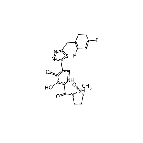 C[SH]1(=O)CCCN1C(=O)c1[nH]cc(-c2nnc(CC3=C(F)C=C(F)CC3)s2)c(=O)c1O